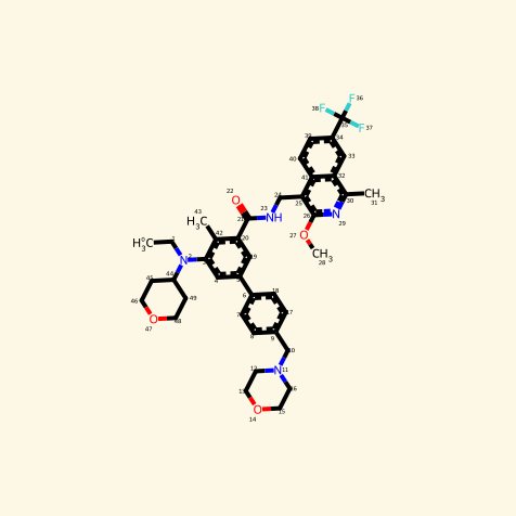 CCN(c1cc(-c2ccc(CN3CCOCC3)cc2)cc(C(=O)NCc2c(OC)nc(C)c3cc(C(F)(F)F)ccc23)c1C)C1CCOCC1